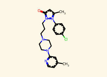 Cc1ccnc(N2CCN(CCCn3c(=O)cc(C)n3-c3ccc(Cl)cc3)CC2)c1